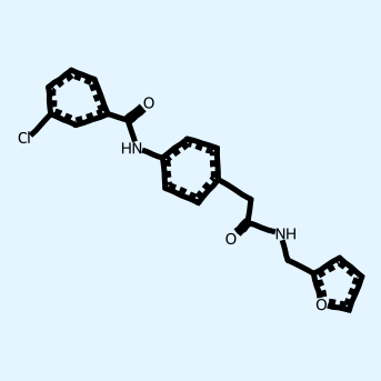 O=C(Cc1ccc(NC(=O)c2cccc(Cl)c2)cc1)NCc1ccco1